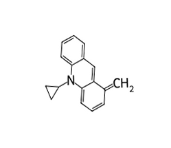 C=c1cccc2c1=Cc1ccccc1N2C1CC1